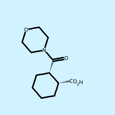 O=C(O)[C@@H]1CCCC[C@@H]1C(=O)N1CCOCC1